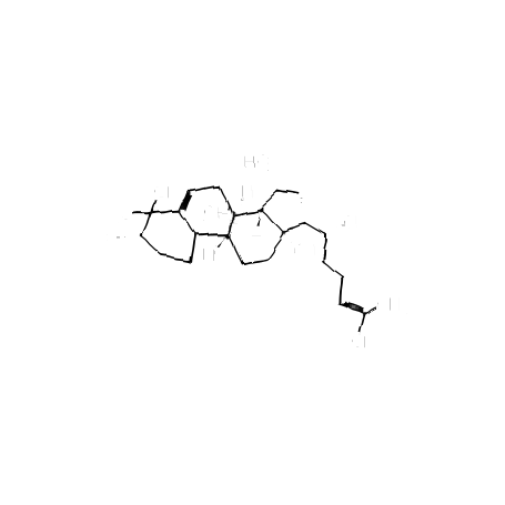 CC(C)=CCC[C@@H](C)[C@H]1C[C@@H](O)[C@H]2[C@@H]3CC=C4C(C)(C)[C@@H](O)CC[C@]4(C)[C@H]3CC[C@@]21C